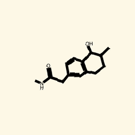 CNC(=O)Cc1ccc2c(c1)CCC(C)C2O